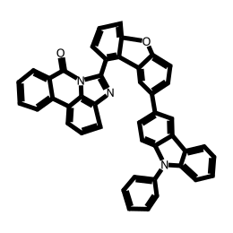 O=c1c2ccccc2c2cccc3nc(-c4cccc5oc6ccc(-c7ccc8c(c7)c7ccccc7n8-c7ccccc7)cc6c45)n1c32